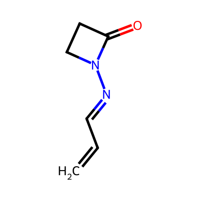 C=CC=NN1CCC1=O